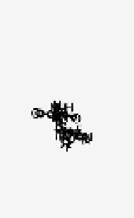 Cc1cc(-n2nc3c(c2-n2ccn(-c4ccc5c(cnn5C)c4F)c2=O)[C@H](C)N(C(=O)c2cc4cc(C5CCOCC5)ccc4n2C2(c4nnn[nH]4)[C@@H]4CN(C5COC5)C[C@@H]42)CC3)cc(C)c1F